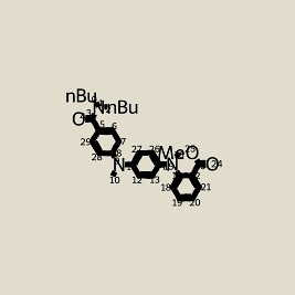 CCCCN(CCCC)C(=O)C1=CCC(N(C)c2ccc(N(C)c3ccccc3C(=O)OC)cc2)C=C1